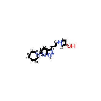 Cn1nc(CCCN2CC[C@H](O)C2)c2ccc(N3CCCCCCC3)nc21